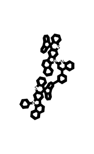 c1ccc(-n2c3cc4c(cc3c3ccc5ccccc5c32)C2(c3ccccc3S4)c3ccccc3-c3cc(-c4cccc(-c5cc(-n6c7cc8c(cc7c7ccc9ccccc9c76)C6(c7ccccc7S8)c7ccccc7-c7ccccc76)nc6ccccc56)c4)ccc32)cc1